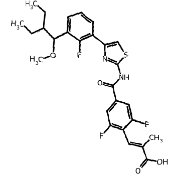 CCC(CC)C(OC)c1cccc(-c2csc(NC(=O)c3cc(F)c(C=C(C)C(=O)O)c(F)c3)n2)c1F